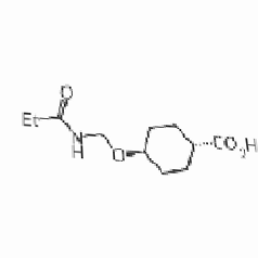 CCC(=O)NCO[C@H]1CC[C@H](C(=O)O)CC1